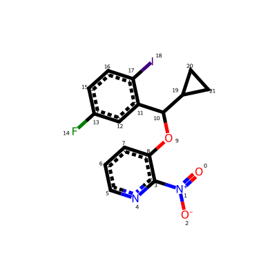 O=[N+]([O-])c1ncccc1OC(c1cc(F)ccc1I)C1CC1